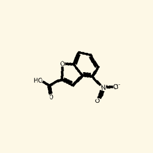 O=C(O)c1cc2c([N+](=O)[O-])cccc2o1